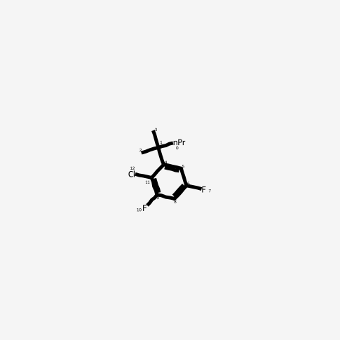 CCCC(C)(C)c1cc(F)cc(F)c1Cl